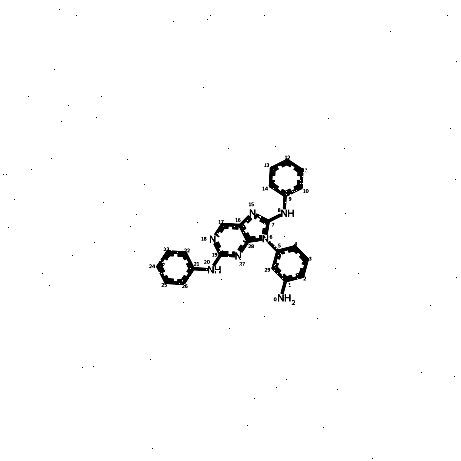 Nc1cccc(-n2c(Nc3ccccc3)nc3cnc(Nc4ccccc4)nc32)c1